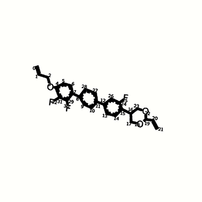 C=CCOc1ccc(-c2ccc(-c3ccc(C4COC(C=C)OC4)c(F)c3)cc2)c(F)c1F